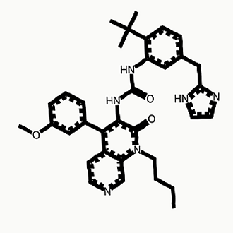 CCCCn1c(=O)c(NC(=O)Nc2cc(Cc3ncc[nH]3)ccc2C(C)(C)C)c(-c2cccc(OC)c2)c2ccncc21